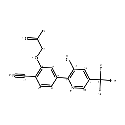 CC(=O)COc1cc(-c2ncc(C(F)(F)F)cc2Cl)ccc1C#N